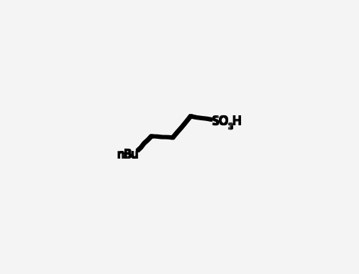 CCCCCCCS(=O)(=O)O